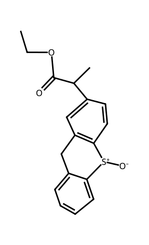 CCOC(=O)C(C)c1ccc2c(c1)Cc1ccccc1[S+]2[O-]